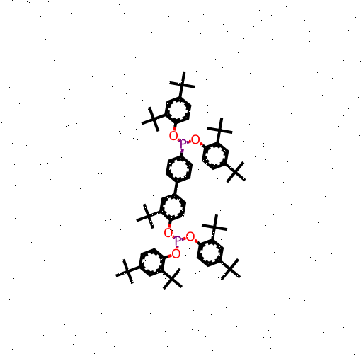 CC(C)(C)c1ccc(OP(Oc2ccc(-c3ccc(P(Oc4ccc(C(C)(C)C)cc4C(C)(C)C)Oc4ccc(C(C)(C)C)cc4C(C)(C)C)cc3)cc2C(C)(C)C)Oc2ccc(C(C)(C)C)cc2C(C)(C)C)c(C(C)(C)C)c1